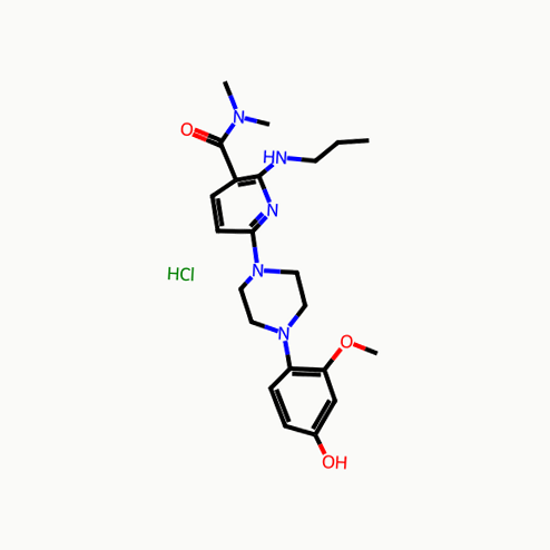 CCCNc1nc(N2CCN(c3ccc(O)cc3OC)CC2)ccc1C(=O)N(C)C.Cl